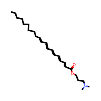 CCCCCCCCCC=CC=CC=CC=CC=CC(=O)OCCCN(C)C